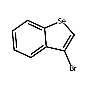 Brc1c[se]c2ccccc12